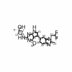 COc1nc(N[C@H]2C[C@](C)(O)C2)nc2[nH]cc(-c3ccc4nc(C)n(CC(F)F)c4c3)c12